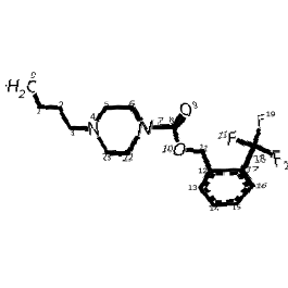 [CH2]CCCN1CCN(C(=O)OCc2ccccc2C(F)(F)F)CC1